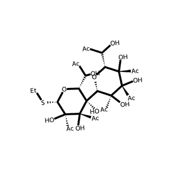 CCS[C@@H]1O[C@H](C(O)C(C)=O)[C@@](O)([C@@H]2O[C@H](C(O)C(C)=O)[C@@](O)(C(C)=O)[C@@](O)(C(C)=O)[C@]2(O)C(C)=O)[C@@](O)(C(C)=O)[C@]1(O)C(C)=O